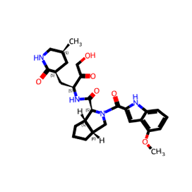 COc1cccc2[nH]c(C(=O)N3C[C@@H]4CCC[C@@H]4[C@H]3C(=O)N[C@@H](C[C@@H]3C[C@H](C)CNC3=O)C(=O)CO)cc12